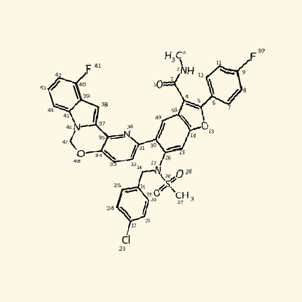 CNC(=O)c1c(-c2ccc(F)cc2)oc2cc(N(Cc3ccc(Cl)cc3)S(C)(=O)=O)c(-c3ccc4c(n3)-c3cc5c(F)cccc5n3CO4)cc12